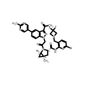 CC(=O)c1nn(CC(=O)N2[C@H](C(=O)Nc3nc(Br)ccc3CN3CC(F)(F)C3)C[C@@]3(C)C[C@@H]23)c2ccc(-c3cnc(C)nc3)cc12